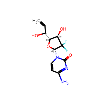 C=CC(O)[C@H]1O[C@@H](n2ccc(N)nc2=O)C(F)(F)[C@@H]1O